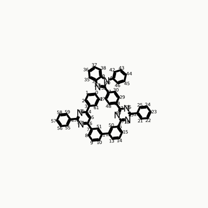 c1ccc(-c2cc(-c3cccc(-c4cccc(-c5nc(-c6ccccc6)nc(-c6ccc(-c7nc8ccccc8n7-c7ccccc7)cc6)n5)c4)c3)nc(-c3ccccc3)n2)cc1